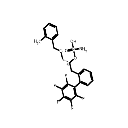 Cc1ccccc1COC[C@@H](Cc1ccccc1-c1c(F)c(F)c(F)c(F)c1F)OP(N)(=O)O